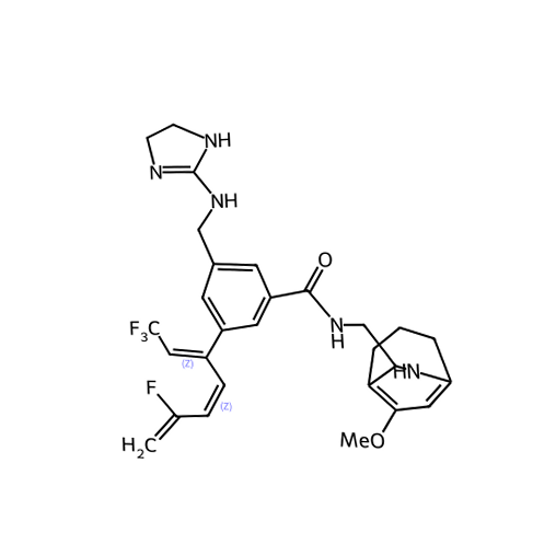 C=C(F)/C=C\C(=C\C(F)(F)F)c1cc(CNC2=NCCN2)cc(C(=O)NCC2NC3=CC(OC)=C2CCC3)c1